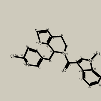 CCn1cc(C(=O)N2CCc3ccsc3C2Cc2ccc(Cl)nc2)c2ccccc21